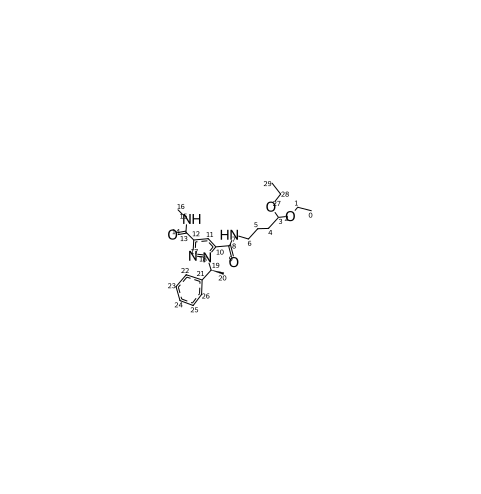 CCOC(CCCNC(=O)c1cc(C(=O)NC)nn1[C@@H](C)c1ccccc1)OCC